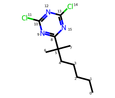 CCCCCC(C)(C)c1nc(Cl)nc(Cl)n1